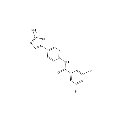 Nc1ncc(-c2ccc(NC(=O)c3cc(Br)cc(Br)c3)cc2)[nH]1